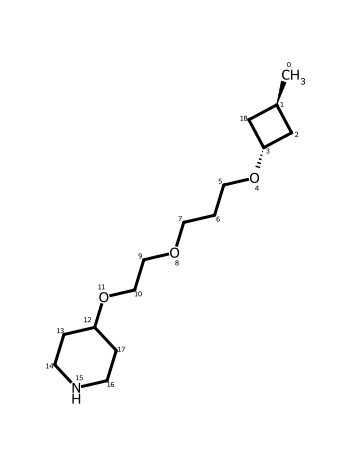 C[C@H]1C[C@H](OCCCOCCOC2CCNCC2)C1